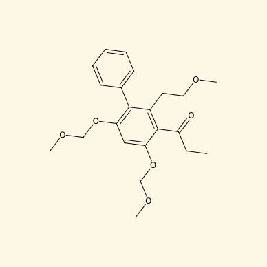 CCC(=O)c1c(OCOC)cc(OCOC)c(-c2ccccc2)c1CCOC